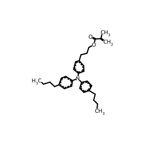 C=C(C)C(=O)OCCCc1ccc(N(c2ccc(CCCC)cc2)c2ccc(CCCC)cc2)cc1